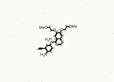 C#Cc1cc(N(P)c2ncnc3cc(OCCOC)c(OCCOC)cc23)ccc1N